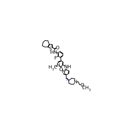 COCCN1CCC/C(=C/c2ccc(Nc3cc(-c4cccc(NC(=O)c5cc6c(s5)CCCCC6)c4F)cn(C)c3=O)nc2)CC1